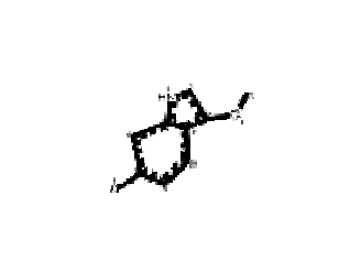 COc1c[nH]c2cc(Cl)ccc12